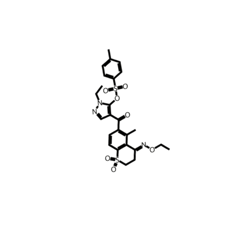 CCON=C1CCS(=O)(=O)c2ccc(C(=O)c3cnn(CC)c3OS(=O)(=O)c3ccc(C)cc3)c(C)c21